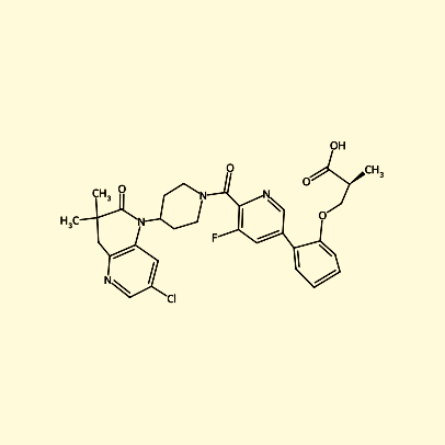 C[C@@H](COc1ccccc1-c1cnc(C(=O)N2CCC(N3C(=O)C(C)(C)Cc4ncc(Cl)cc43)CC2)c(F)c1)C(=O)O